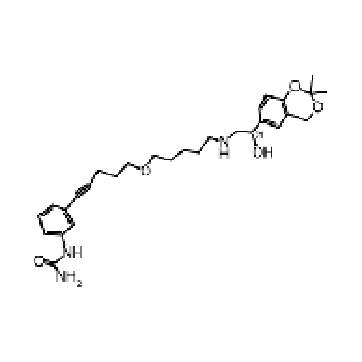 CC1(C)OCc2cc([C@@H](O)CNCCCCCOCCCC#Cc3cccc(NC(N)=O)c3)ccc2O1